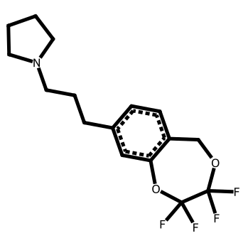 FC1(F)OCc2ccc(CCCN3CCCC3)cc2OC1(F)F